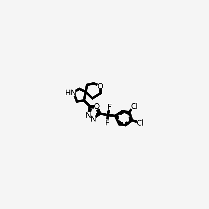 FC(F)(c1ccc(Cl)c(Cl)c1)c1nnc(C2CNCC23CCOCC3)o1